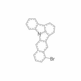 Brc1cccc2cc3c(cc12)c1cccc2c4ccccc4n3c21